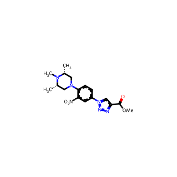 COC(=O)c1cn(-c2ccc(N3C[C@@H](C)N(C)[C@@H](C)C3)c([N+](=O)[O-])c2)nn1